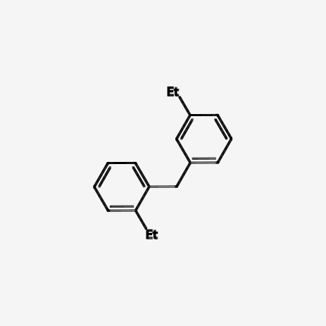 CCc1cccc(Cc2ccccc2CC)c1